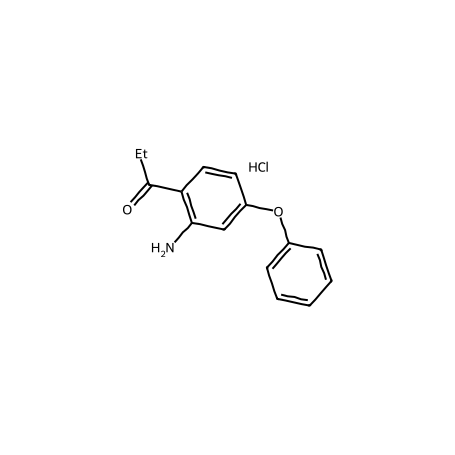 CCC(=O)c1ccc(Oc2ccccc2)cc1N.Cl